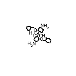 CC(C)(c1ccc(N)cc1OCc1ccccc1)c1ccc(N)cc1OCc1ccccc1